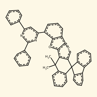 CC1(C)c2ccccc2C2(c3ccccc3-c3ccccc32)c2ccc3c(oc4c(-c5cc(-c6ccccc6)nc(-c6ccccc6)n5)cccc43)c21